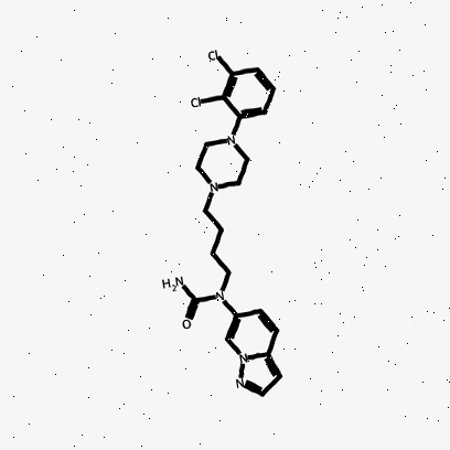 NC(=O)N(CCCCN1CCN(c2cccc(Cl)c2Cl)CC1)c1ccc2ccnn2c1